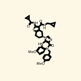 COc1ccc(CN2C(=O)c3ncn([C@H]4CCc5sc(NC(=O)C6CC6)c(C(=O)NCC6CC6)c5C4)c3Nc3cc(OC)ccc32)cc1